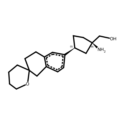 N[C@]1(CO)CC[C@H](c2ccc3c(c2)CCC2(CCCCO2)C3)C1